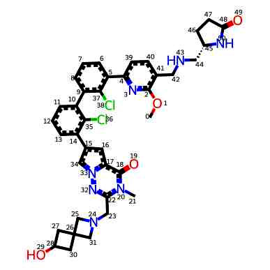 COc1nc(-c2cccc(-c3cccc(-c4cc5c(=O)n(C)c(CN6CC7(CC(O)C7)C6)nn5c4)c3Cl)c2Cl)ccc1CNC[C@@H]1CCC(=O)N1